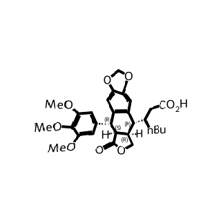 CCCCC(CC(=O)O)[C@H]1c2cc3c(cc2[C@@H](c2cc(OC)c(OC)c(OC)c2)[C@@H]2C(=O)OC[C@@H]21)OCO3